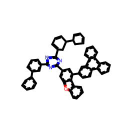 C1=CCC(C2C=CC=C(c3nc(-c4cccc(-c5ccccc5)c4)nc(-c4cc(-c5ccc6c7ccccc7c7ccccc7c6c5)c5c(c4)oc4ccccc45)n3)C2)C=C1